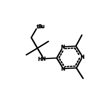 Cc1nc(C)nc(NC(C)(C)CC(C)(C)C)n1